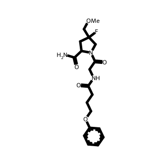 COCC1(F)CC(C(N)=O)N(C(=O)CNC(=O)CCCOc2ccccc2)C1